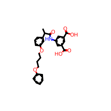 CC(C(=O)Nc1cc(C(=O)O)cc(C(=O)O)c1)c1cccc(OCCCCOc2ccccc2)c1